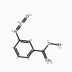 C=C(OCC)c1cccc(N=C=O)c1